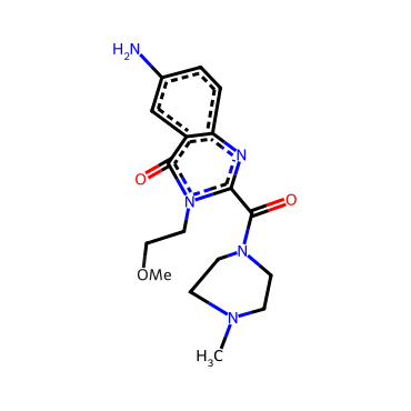 COCCn1c(C(=O)N2CCN(C)CC2)nc2ccc(N)cc2c1=O